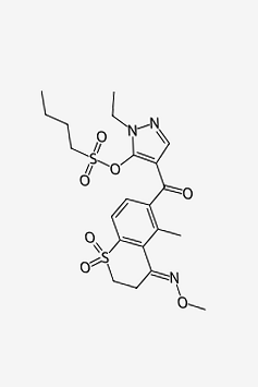 CCCCS(=O)(=O)Oc1c(C(=O)c2ccc3c(c2C)C(=NOC)CCS3(=O)=O)cnn1CC